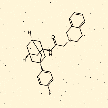 O=C(CN1CCc2ccccc2C1)N[C@@]12C[C@H]3C[C@@H](C1)C[C@@](c1ccc(F)cc1)(C3)C2